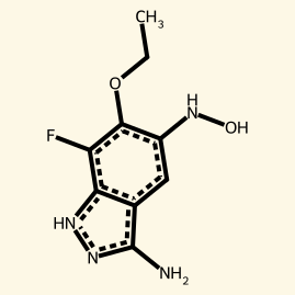 CCOc1c(NO)cc2c(N)n[nH]c2c1F